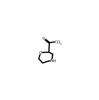 O=C(C1CNCCO1)C(Cl)(Cl)Cl